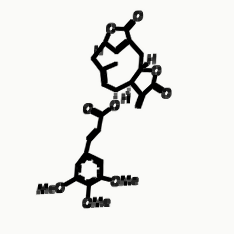 C=C1C(=O)O[C@H]2CC3=C[C@@H](C/C(C)=C/[C@@H](OC(=O)/C=C/c4cc(OC)c(OC)c(OC)c4)[C@H]12)OC3=O